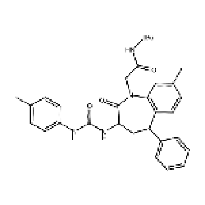 Cc1ccc(NC(=O)NC2CC(c3ccccc3)c3ccc(C)cc3N(CC(=O)NC(C)(C)C)C2=O)cc1